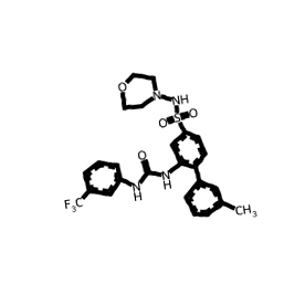 Cc1cccc(-c2ccc(S(=O)(=O)NN3CCOCC3)cc2NC(=O)Nc2cccc(C(F)(F)F)c2)c1